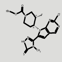 Cn1c(-c2cc3cnc(Cl)nc3n2[C@@H]2CCN(C(=O)OC(C)(C)C)C[C@@H]2F)n[nH]c1=S